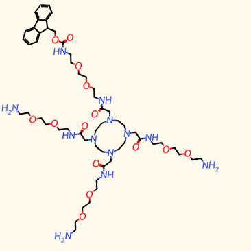 NCCOCCOCCNC(=O)CN1CCN(CC(=O)NCCOCCOCCN)CCN(CC(=O)NCCOCCOCCNC(=O)OCC2c3ccccc3-c3ccccc32)CCN(CC(=O)NCCOCCOCCN)CC1